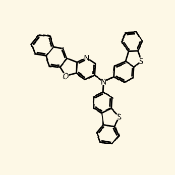 c1ccc2cc3c(cc2c1)oc1cc(N(c2ccc4c(c2)sc2ccccc24)c2ccc4sc5ccccc5c4c2)cnc13